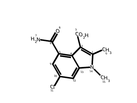 Cc1c(C(=O)O)c2c(C(N)=O)cc(Cl)cc2n1C